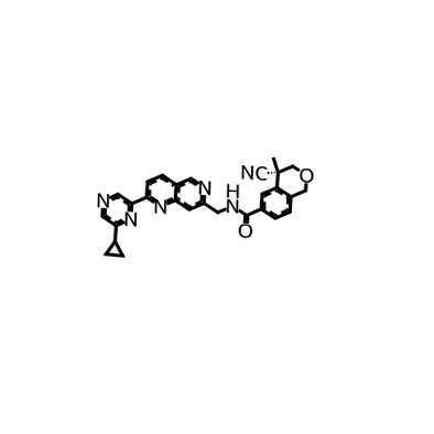 C[C@@]1(C#N)COCc2ccc(C(=O)NCc3cc4nc(-c5cncc(C6CC6)n5)ccc4cn3)cc21